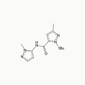 Cc1cc(C(=O)Nc2ccnn2C)n(C(C)(C)C)n1